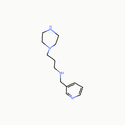 c1cncc(CNCCCN2CCNCC2)c1